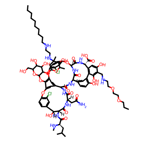 CCCCCCCCCCNCCNC1(C)CC(OC2C(Oc3c4cc5cc3Oc3ccc(cc3Cl)[C@@H](O)[C@@H](NC(=O)[C@@H](CC(C)C)NC)C(=O)N[C@@H](CC(N)=O)C(=O)N[C@H]5C(=O)N[C@H]3C(=O)N[C@@H](Oc5ccc(c(Cl)c5)O4)C(=O)N[C@H](C(=O)O)c4cc(O)c(CNCCOCCOCCC)c(O)c4-c4cc3ccc4O)OC(CO)C(O)C2O)OC(C)C1O